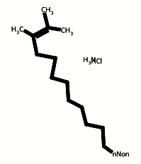 CCCCCCCCCCCCCCCCCCC(C)=C(C)C.Cl.N